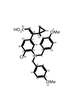 COc1ccc(CN(Cc2ccc(OC)cc2)c2cc(/C(=C\C(=O)O)C3(C)CC3)ccc2Cl)cc1